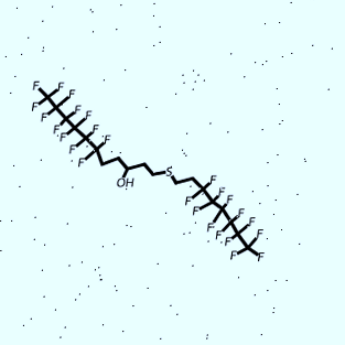 OC(CCSCCC(F)(F)C(F)(F)C(F)(F)C(F)(F)C(F)(F)C(F)(F)F)CCC(F)(F)C(F)(F)C(F)(F)C(F)(F)C(F)(F)C(F)(F)F